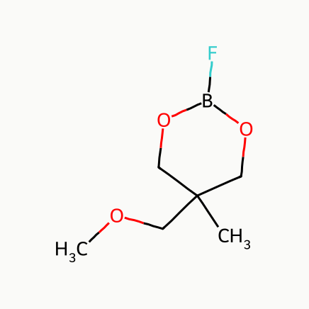 COCC1(C)COB(F)OC1